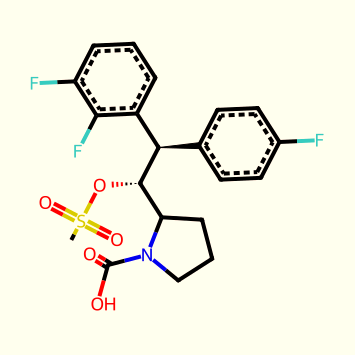 CS(=O)(=O)O[C@@H](C1CCCN1C(=O)O)[C@H](c1ccc(F)cc1)c1cccc(F)c1F